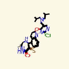 CC(C)CN(Cc1cnc(Cl)nc1Oc1ccc2c(ccc3sc4c(c32)NC[C@@H](C)NC4=O)n1)CC(C)C